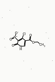 CCOC(=O)c1c[nH]c(=O)c([N+](=O)[O-])c1Cl